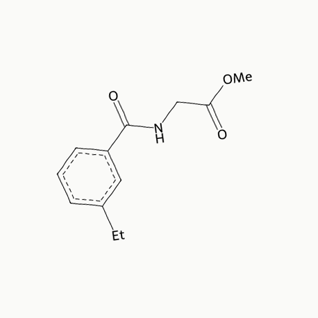 CCc1cccc(C(=O)NCC(=O)OC)c1